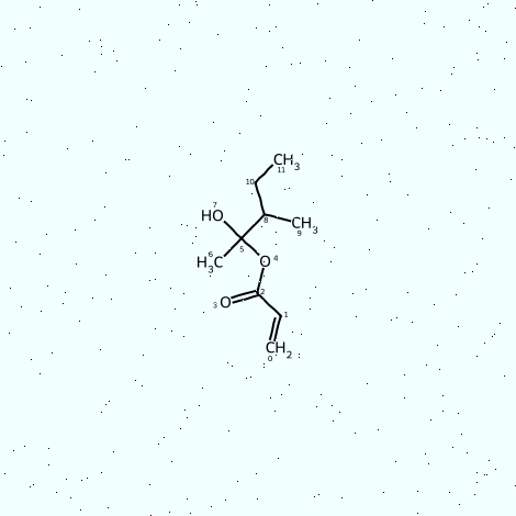 C=CC(=O)OC(C)(O)C(C)CC